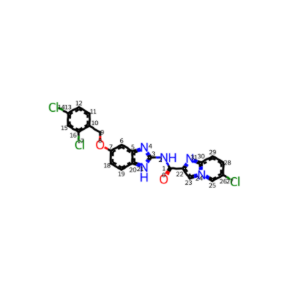 O=C(Nc1nc2cc(OCc3ccc(Cl)cc3Cl)ccc2[nH]1)c1cn2cc(Cl)ccc2n1